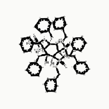 O=P(O)(O)O[C@@]1(Cc2ccccc2)[C@@H](O)[C@](O)(P(=O)(OCc2ccccc2)OCc2ccccc2)[C@@](O)(P(=O)(OCc2ccccc2)OCc2ccccc2)[C@](O)(Cc2ccccc2)[C@@]1(O)Cc1ccccc1